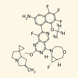 [2H]C([2H])([2H])Oc1c(F)c(F)c(F)c2cc(N)cc(-c3ncc4c(N5CCOC[C@H]6[C@H](F)[C@H]65)nc(OC[C@]56CC(=C)CN5CCC65CC5)nc4c3F)c12